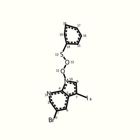 Brc1cnc2c(c1)c(I)cn2OOSc1ccccc1